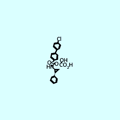 O=C(O)O.O=S(=O)(N[C@H]1C[C@@H]1c1ccccc1)c1ccc(-c2ccc(Cl)cc2)cc1